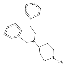 CN1CCC(N(CCc2ccccc2)Cc2ccccc2)CC1